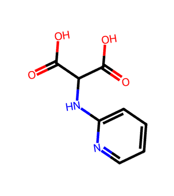 O=C(O)C(Nc1ccccn1)C(=O)O